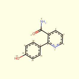 NC(=O)c1cccnc1-c1ccc(O)cc1